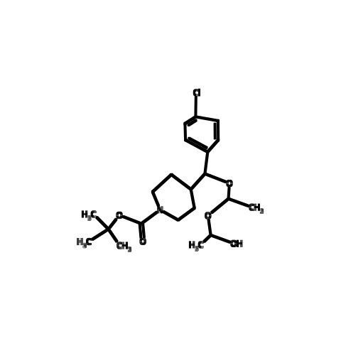 CC(O)OC(C)OC(c1ccc(Cl)cc1)C1CCN(C(=O)OC(C)(C)C)CC1